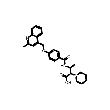 Cc1cc(COc2ccc(C(=O)NC(C)C(C(=O)O)N3CCCCC3)cc2)c2ccccc2n1